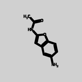 CC(=O)Nc1cc2cc(N)ccc2o1